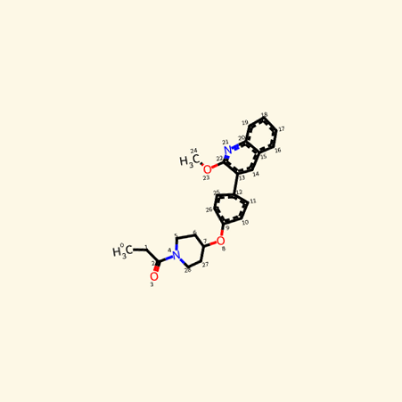 CCC(=O)N1CCC(Oc2ccc(-c3cc4ccccc4nc3OC)cc2)CC1